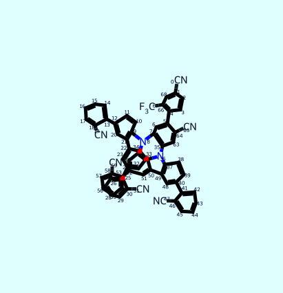 N#Cc1ccc(-c2cc(-n3c4ccc(-c5ccccc5C#N)cc4c4cc(-c5ccccc5C#N)ccc43)c(-n3c4ccc(-c5ccccc5C#N)cc4c4cc(-c5ccccc5C#N)ccc43)cc2C#N)c(C(F)(F)F)c1